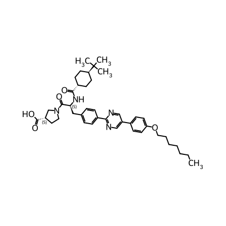 CCCCCCCOc1ccc(-c2cnc(-c3ccc(C[C@H](NC(=O)[C@H]4CC[C@H](C(C)(C)C)CC4)C(=O)N4CC[C@H](C(=O)O)C4)cc3)nc2)cc1